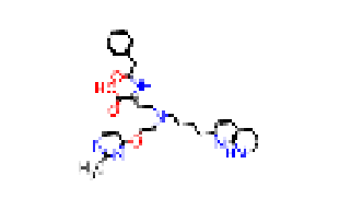 Cc1nccc(OCCN(CCCCc2ccc3c(n2)NCCC3)CC[C@H](NC(=O)Cc2ccccc2)C(=O)O)n1